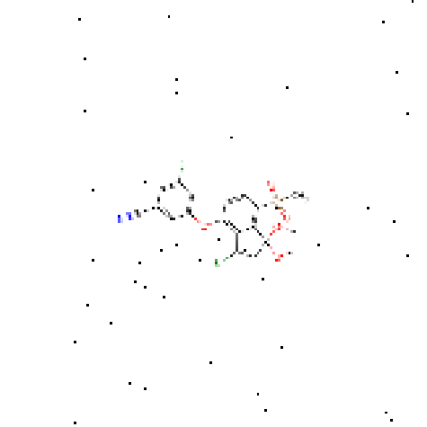 CS(=O)(=O)c1ccc(Oc2cc(F)cc(C#N)c2)c2c1C1(CC2Br)OCCO1